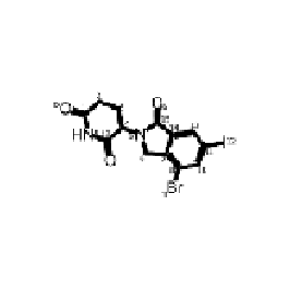 O=C1CCC(N2Cc3c(Br)cc(I)cc3C2=O)C(=O)N1